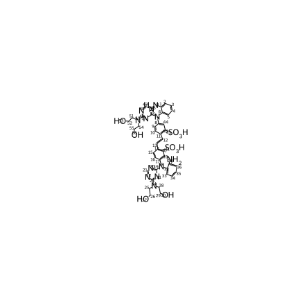 Nc1ccccc1N(c1ccc(C=Cc2ccc(N(c3ncnc(N(CCO)CCO)n3)c3ccccc3N)cc2S(=O)(=O)O)c(S(=O)(=O)O)c1)c1ncnc(N(CCO)CCO)n1